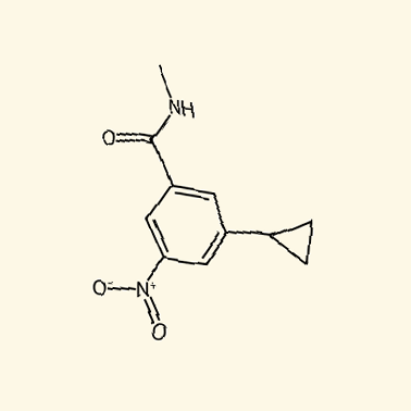 CNC(=O)c1cc(C2CC2)cc([N+](=O)[O-])c1